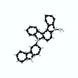 Cn1c2ccccc2c2c3c4ccccc4n(-c4ccc5sc6ccccc6c5c4)c3ccc21